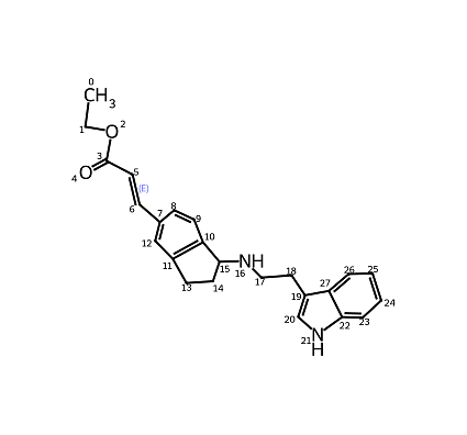 CCOC(=O)/C=C/c1ccc2c(c1)CCC2NCCc1c[nH]c2ccccc12